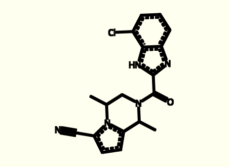 CC1c2ccc(C#N)n2C(C)CN1C(=O)c1nc2cccc(Cl)c2[nH]1